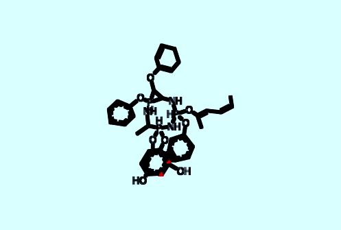 C/C=C\C=C(/C)O[PH]1(Oc2cc#ccc2)NC2C(OC3=CCCC=C3)[PH]2(Oc2ccccc2)NC(C)[PH](Oc2ccccc2)(Oc2cc(O)cc(O)c2)N1